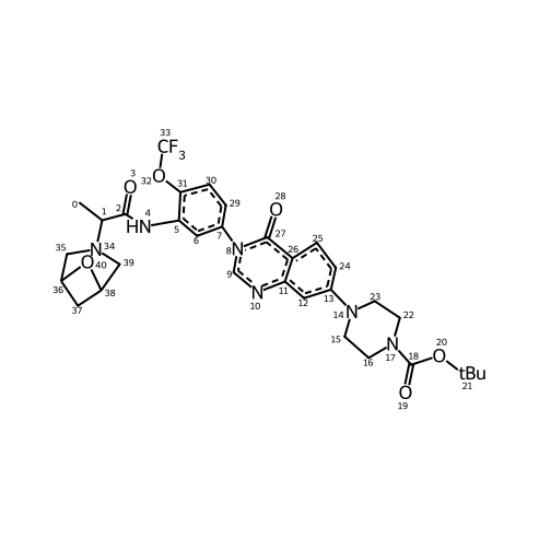 CC(C(=O)Nc1cc(-n2cnc3cc(N4CCN(C(=O)OC(C)(C)C)CC4)ccc3c2=O)ccc1OC(F)(F)F)N1CC2CC(C1)O2